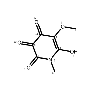 COC1=C(O)N(C)C(=O)C(=O)C1=O